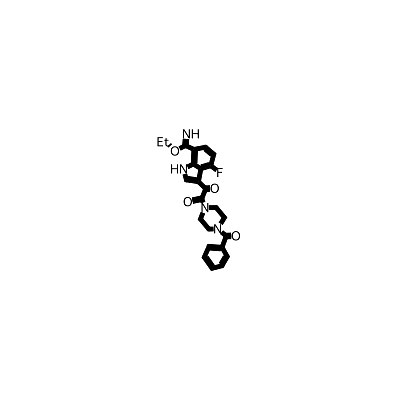 CCOC(=N)c1ccc(F)c2c(C(=O)C(=O)N3CCN(C(=O)c4ccccc4)CC3)c[nH]c12